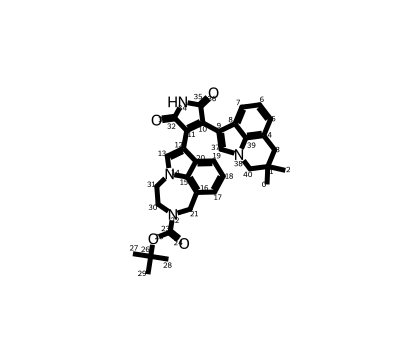 CC1(C)Cc2cccc3c(C4=C(c5cn6c7c(cccc57)CN(C(=O)OC(C)(C)C)CC6)C(=O)NC4=O)cn(c23)C1